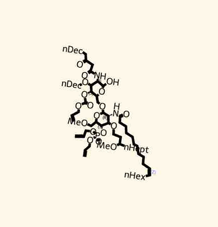 C=CCOC(=O)O[C@@H]1C(COC2OC(COC)[C@@H](OP(=O)(OCC=C)OCC=C)C(OCCC(CCCCCCC)OC)[C@H]2NC(=O)CCCCCCCCC/C=C\CCCCCC)OC(O)[C@H](NC(=O)CC(=O)CCCCCCCCCCC)C1OCCCCCCCCCC